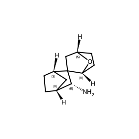 N[C@@H]1[C@@H]2CC[C@@H](C2)C12C[C@@H]1CC[C@H]2O1